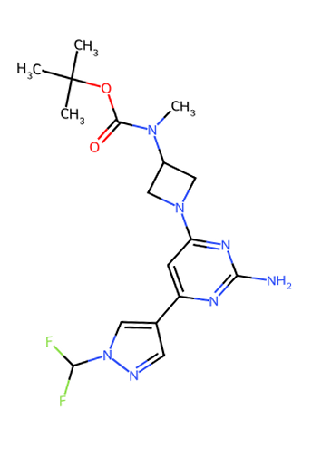 CN(C(=O)OC(C)(C)C)C1CN(c2cc(-c3cnn(C(F)F)c3)nc(N)n2)C1